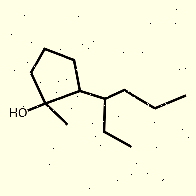 CCCC(CC)C1CCCC1(C)O